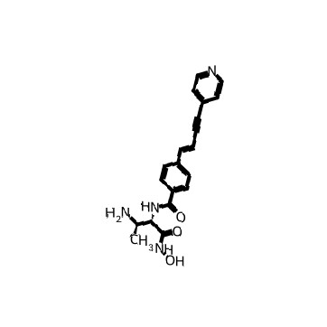 C[C@@H](N)[C@H](NC(=O)c1ccc(/C=C/C#Cc2ccncc2)cc1)C(=O)NO